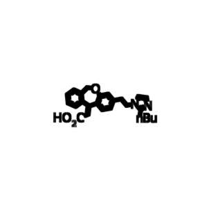 CCCCc1nccn1CCc1ccc2c(c1)OCc1ccccc1C2=CC(=O)O